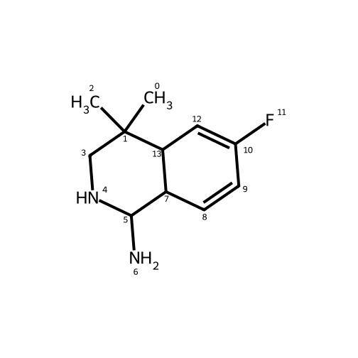 CC1(C)CNC(N)C2C=CC(F)=CC21